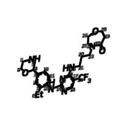 CCc1cc(C2CNCCO2)ccc1Nc1ncc(C(F)(F)F)c(NCCCN2CCOCCC2=O)n1